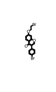 O=c1c(-c2ccc(Br)cc2)coc2cc(OCCBr)ccc12